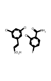 NC(=O)c1ccc(F)cc1Cl.O=S(=O)(O)/C=C/c1cc(Cl)cc(Cl)c1